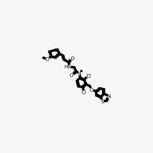 COc1cccc(/C=C/C(=O)NCC(=O)N(C)c2ccc(Cl)c(COc3ccc4ncsc4c3)c2Cl)c1